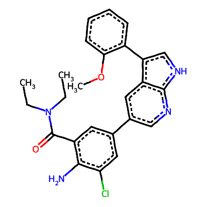 CCN(CC)C(=O)c1cc(-c2cnc3[nH]cc(-c4ccccc4OC)c3c2)cc(Cl)c1N